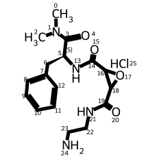 CN(C)C(=O)[C@H](Cc1ccccc1)NC(=O)C1OC1C(=O)NCCN.Cl